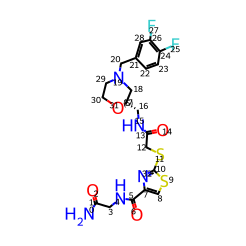 NC(=O)CNC(=O)c1csc(SCC(=O)NC[C@H]2CN(Cc3ccc(F)c(F)c3)CCO2)n1